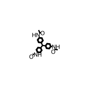 CC(=O)Nc1ccc(C(c2ccc(NC=O)cc2)c2ccc(NC(C)=O)cc2)cc1